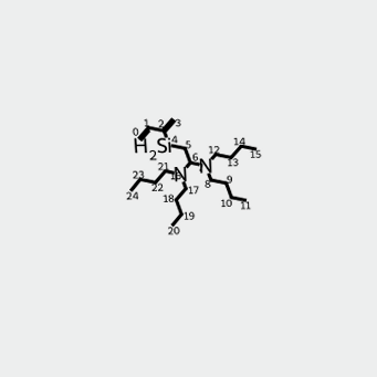 C=CC(=C)[SiH2]CC(N(CCCC)CCCC)N(CCCC)CCCC